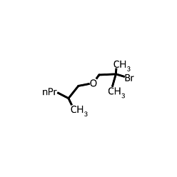 CCCC(C)COCC(C)(C)Br